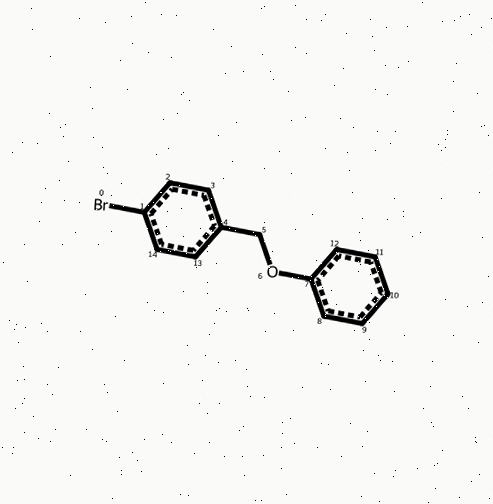 Brc1ccc(COc2cc[c]cc2)cc1